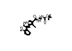 CNc1ccccc1/C(C=O)=C/c1[nH]cc(C(=O)NCCNC(=O)OC(C)(C)C)c1C